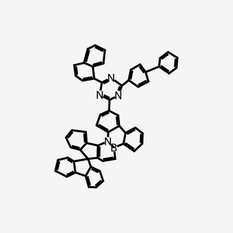 C1=CC2=C(c3ccccc3C23c2ccccc2-c2ccccc23)N2B1c1ccccc1-c1cc(-c3nc(-c4ccc(-c5ccccc5)cc4)nc(-c4cccc5ccccc45)n3)ccc12